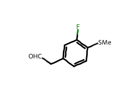 CSc1ccc(CC=O)cc1F